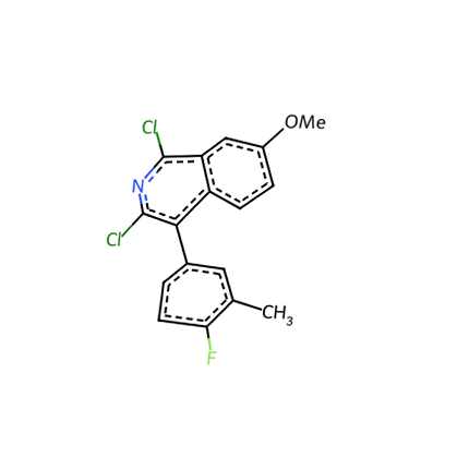 COc1ccc2c(-c3ccc(F)c(C)c3)c(Cl)nc(Cl)c2c1